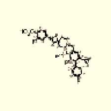 CC(C)Oc1c(CN2CCC3(CC2)CN(c2ccc(C(=O)O)c(F)c2)C3)cc(C2CC2)c(-c2ccc(F)cc2)c1F